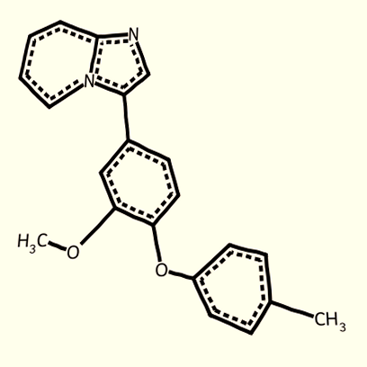 COc1cc(-c2cnc3ccccn23)ccc1Oc1ccc(C)cc1